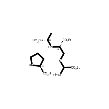 CCCCCCC(SC[C@H](N[C@@H](C)C(=O)O)C(=O)OCC)C(=O)OCC.O=C(O)[C@@H]1CCCN1